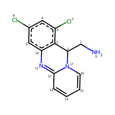 NCC1c2c(Cl)cc(Cl)cc2N=C2C=CC=CN21